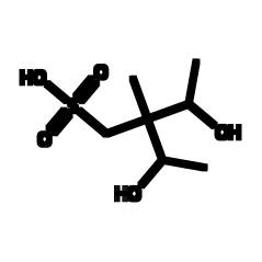 CC(O)C(C)(CS(=O)(=O)O)C(C)O